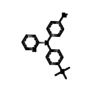 C[Si](C)(C)c1ccc(N(c2ccc(Br)cc2)c2ccccn2)cc1